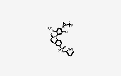 COc1cc([C@@H]2C[C@H]2C(F)(F)F)c(Cl)cc1-n1c(=O)ccc2cc(S(=O)(=O)Nc3cccnn3)ccc21